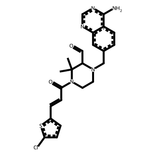 CC1(C)C(C=O)N(Cc2ccc3c(N)ncnc3c2)CCN1C(=O)C=Cc1ccc(Cl)s1